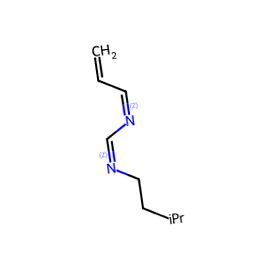 C=C/C=N\C=N/CCC(C)C